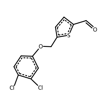 O=Cc1ccc(COc2ccc(Cl)c(Cl)c2)s1